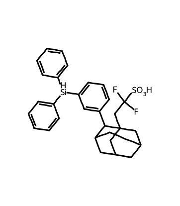 O=S(=O)(O)C(F)(F)CC12CC3CC(CC(C3)C1c1cccc([SiH](c3ccccc3)c3ccccc3)c1)C2